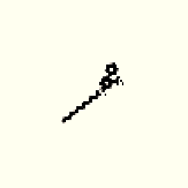 CCCCCCCCCCCCOc1ccc(-c2ccccc2)c(C#N)c1